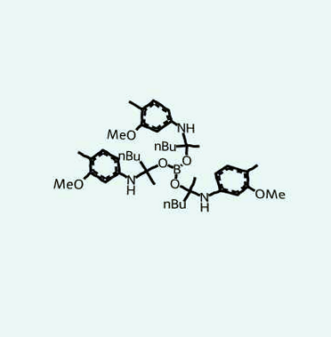 CCCCC(C)(Nc1ccc(C)c(OC)c1)OB(OC(C)(CCCC)Nc1ccc(C)c(OC)c1)OC(C)(CCCC)Nc1ccc(C)c(OC)c1